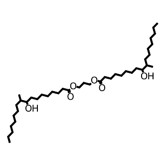 CCCCCCCCC(C)C(O)CCCCCCCC(=O)OCCCOC(=O)CCCCCCCC(O)C(C)CCCCCCCC